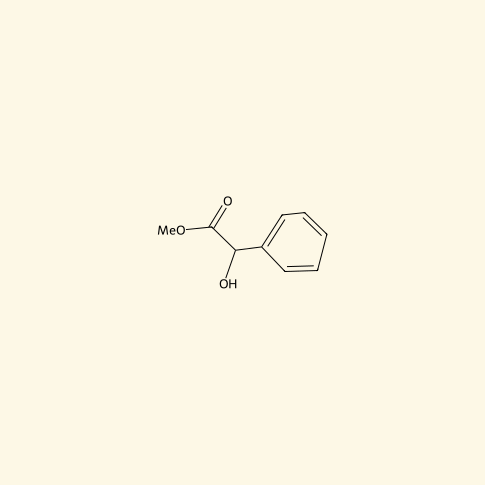 [CH2]OC(=O)C(O)c1ccccc1